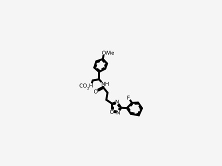 COc1ccc(C(CC(=O)O)NC(=O)CCc2nc(-c3ccccc3F)no2)cc1